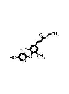 CCOC(=O)/C=C/c1cc(C)c(Oc2ccc(O)cn2)c(C)c1